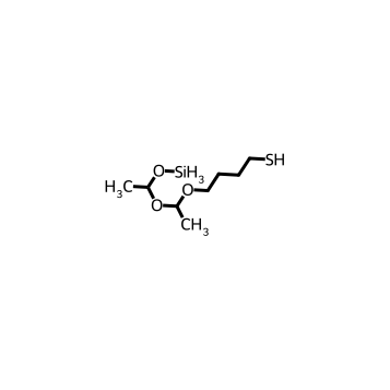 CC(O[SiH3])OC(C)OCCCCS